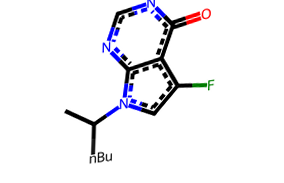 CCCCC(C)n1cc(F)c2c(=O)[nH]cnc21